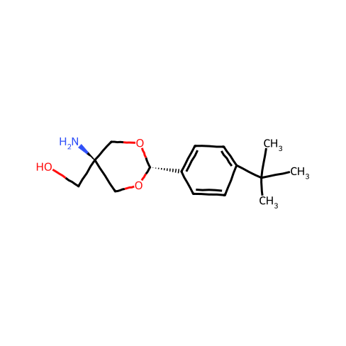 CC(C)(C)c1ccc([C@H]2OC[C@@](N)(CO)CO2)cc1